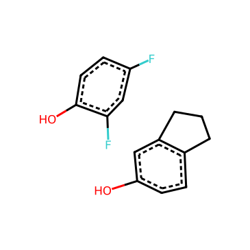 Oc1ccc(F)cc1F.Oc1ccc2c(c1)CCC2